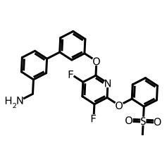 CS(=O)(=O)c1ccccc1Oc1nc(Oc2cccc(-c3cccc(CN)c3)c2)c(F)cc1F